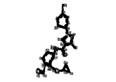 Cc1nn(-c2ccc(F)cc2)cc1C(=O)Nc1ccc(C=O)c(OC2CC2)c1